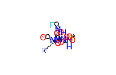 C/C=C\CCCCC[C@H](NCc1cccc(OC)c1)C(=O)N1C[C@H](OC(=O)N2Cc3cccc(F)c3C2)C[C@H]1C(=O)NC1(C(=O)NS(=O)(=O)C2CC2)CC1